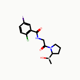 CB(O)C1CCCN1C(=O)CNC(=O)c1cc(I)ccc1Cl